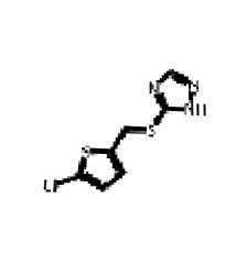 Clc1ccc(CSc2ncn[nH]2)s1